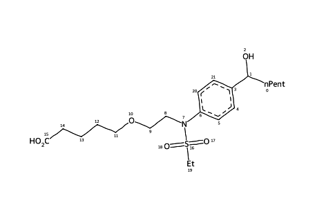 CCCCCC(O)c1ccc(N(CCOCCCCC(=O)O)S(=O)(=O)CC)cc1